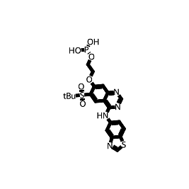 CC(C)(C)S(=O)(=O)c1cc2c(Nc3ccc4scnc4c3)ncnc2cc1OCCOP(O)O